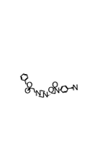 N#Cc1ccc(N2C[C@H](CN3CCN(CCC(=O)OCc4ccccc4)CC3)OC2=O)cc1